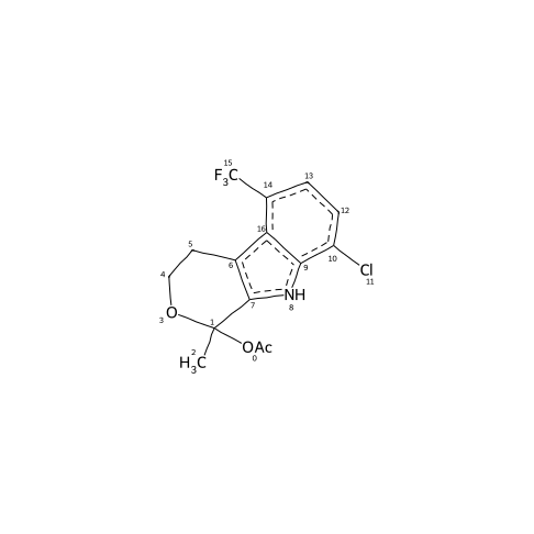 CC(=O)OC1(C)OCCc2c1[nH]c1c(Cl)ccc(C(F)(F)F)c21